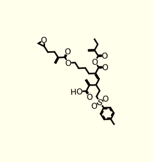 C=C(CCC1CO1)C(=O)OCCCCC(=CC(CCS(=O)(=O)c1ccc(C)cc1)C(=C)C(=O)O)C(=O)OC(=O)C(=C)CC